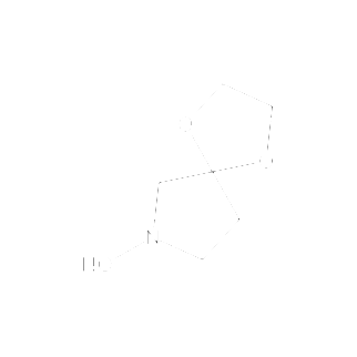 ON1CCC2(C1)OCCO2